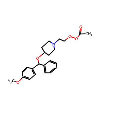 COc1ccc(C(OC2CCN(CCOOC(C)=O)CC2)c2ccccc2)cc1